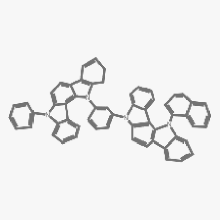 C1=Cc2c(n(-c3cccc(-n4c5ccccc5c5c4ccc4c6ccccc6n(-c6cccc7ccccc67)c45)c3)c3c2ccc2c3c3ccccc3n2-c2ccccc2)CC1